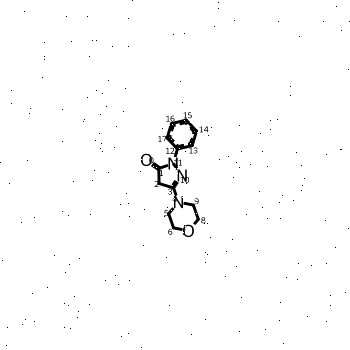 O=C1CC(N2CCOCC2)=NN1c1ccccc1